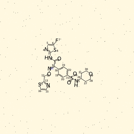 O=C(Nc1ncc(F)s1)/C(=N/OCc1nccs1)c1ccc(S(=O)(=O)NC2CCOCC2)cc1